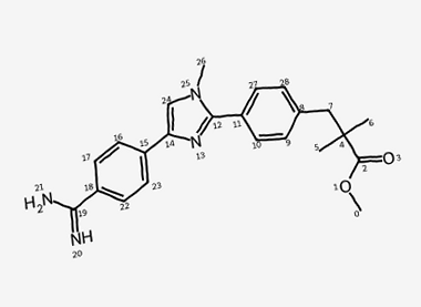 COC(=O)C(C)(C)Cc1ccc(-c2nc(-c3ccc(C(=N)N)cc3)cn2C)cc1